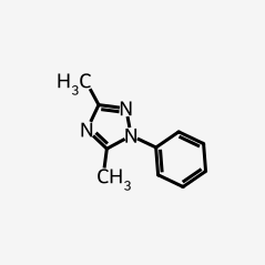 Cc1nc(C)n(-c2ccccc2)n1